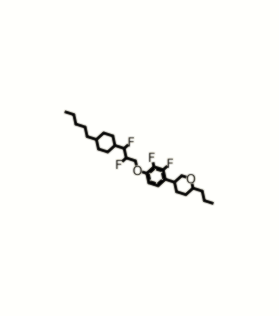 CCCCCC1CCC(C(F)C(F)COc2ccc(C3CCC(CCC)OC3)c(F)c2F)CC1